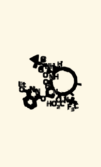 CCOc1nnc(O[C@@H]2C[C@H]3C(=O)N[C@]4(C(=O)NS(=O)(=O)C5(C)CC5)C[C@H]4C=CCC[C@@H](C)C[C@@H](C)[C@H](N(C(=O)O)C(C)(C)C(F)(F)F)C(=O)N3C2)c2ccccc12